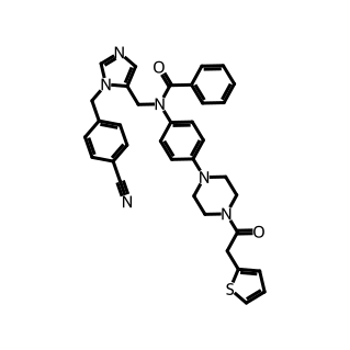 N#Cc1ccc(Cn2cncc2CN(C(=O)c2ccccc2)c2ccc(N3CCN(C(=O)Cc4cccs4)CC3)cc2)cc1